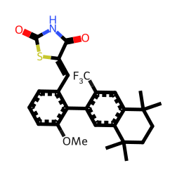 COc1cccc(C=C2SC(=O)NC2=O)c1-c1cc2c(cc1C(F)(F)F)C(C)(C)CCC2(C)C